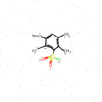 COc1cc(C)c(C)c(S(=O)(=O)Cl)c1C